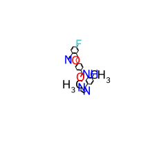 Cc1ccc(-c2nccn2C)cc1NC(=O)c1ccc(OCc2cc(F)ccc2C#N)cc1